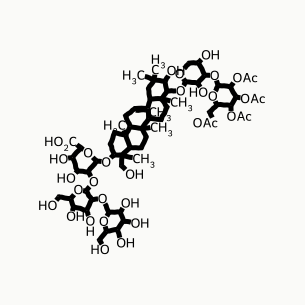 CC(=O)OCC1OC(OC2C(O)COC(OC3C(O)C(C)(C)CC4C5=CCC6C7(C)CCC(OC8OC(C(=O)O)C(O)C(O)C8OC8OC(CO)C(O)C(O)C8OC8OC(CO)C(O)C(O)C8O)C(C)(CO)C7CCC6(C)C5(C)CCC43C)C2O)C(OC(C)=O)C(OC(C)=O)C1OC(C)=O